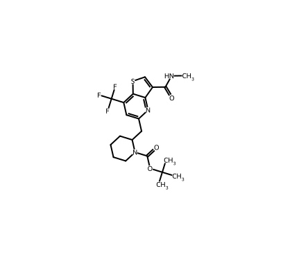 CNC(=O)c1csc2c(C(F)(F)F)cc(CC3CCCCN3C(=O)OC(C)(C)C)nc12